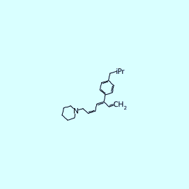 C=C/C(=C\C=C/CN1CCCCC1)c1ccc(CC(C)C)cc1